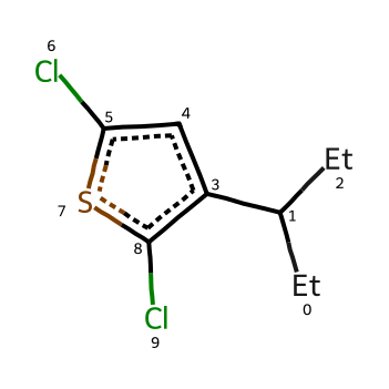 CCC(CC)c1cc(Cl)sc1Cl